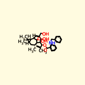 CC1=C[C@]23C(=O)[C@@H](C=C(CO)[C@@H](O)[C@]2(O)[C@H]1OC(=O)c1ccccc1NCc1ccccc1)[C@H]1[C@@H](C[C@H]3C)C1(C)C